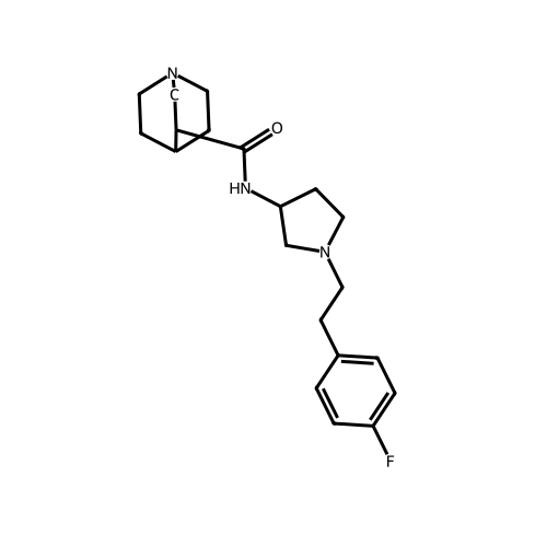 O=C(NC1CCN(CCc2ccc(F)cc2)C1)C1CN2CCC1CC2